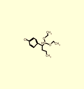 CCCC(c1ccc(Cl)cc1)[SiH](OCC)OCC